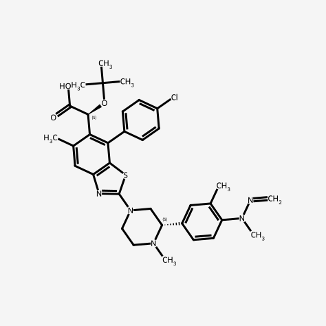 C=NN(C)c1ccc([C@H]2CN(c3nc4cc(C)c([C@H](OC(C)(C)C)C(=O)O)c(-c5ccc(Cl)cc5)c4s3)CCN2C)cc1C